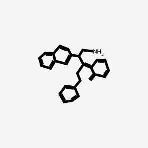 C=c1cccc/c1=C(/CCc1ccccc1)C(CN)c1ccc2ccccc2c1